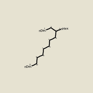 [CH2]CCCCCC(CCCCCCCCCCC)CCCCCCCCCCCCCCCCC